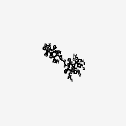 CC(C)(C)OC(=O)N(CCCCC(NS(=O)(=O)N1CCOC1=O)C(=O)O)C(=O)C(C)(C)C